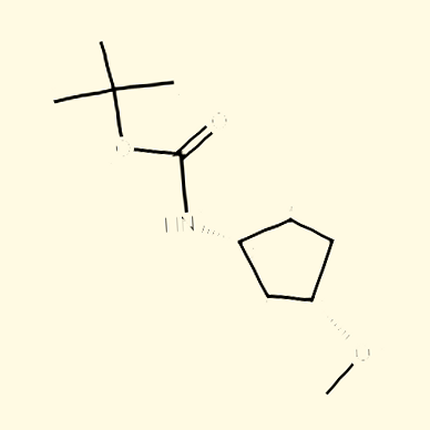 CO[C@H]1CC[C@@H](NC(=O)OC(C)(C)C)C1